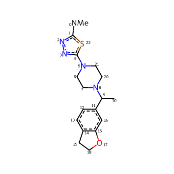 CNc1nnc(N2CCN(C(C)c3ccc4c(c3)OCC4)CC2)s1